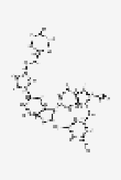 Cc1nc2ncc(-n3ccc4ncc(-c5cnn(CCN6CCOCC6)c5)nc43)cc2n1Cc1cc(F)cc(F)c1